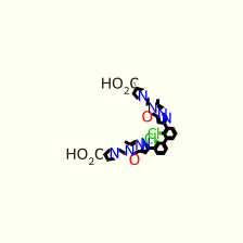 Cc1cn2nc(-c3cccc(-c4cccc(-c5cc6c(=O)n(CCN7CC[C@H](C(=O)O)C7)c(C)cn6n5)c4Cl)c3Cl)cc2c(=O)n1CCN1CC[C@H](C(=O)O)C1